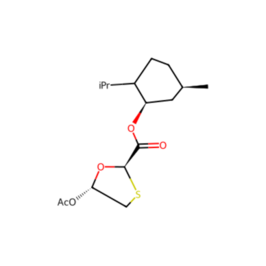 CC(=O)O[C@H]1CS[C@H](C(=O)O[C@@H]2C[C@H](C)CCC2C(C)C)O1